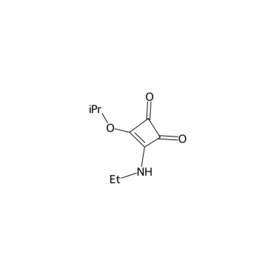 CCNc1c(OC(C)C)c(=O)c1=O